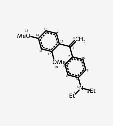 C=C(c1ccc(N(CC)CC)cc1)c1ccc(OC)cc1OC